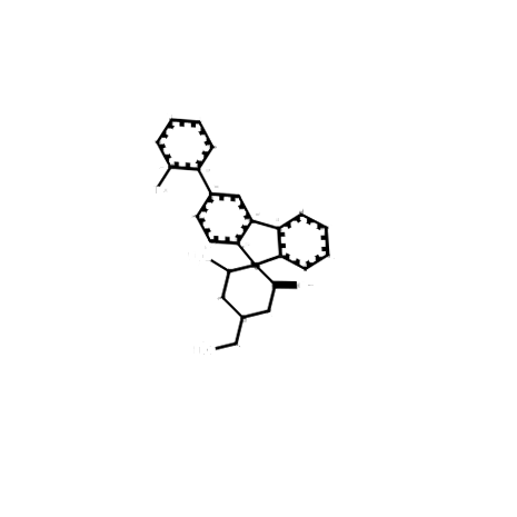 C=C1CC(CC)CC(C)C12c1ccccc1-c1cc(-c3ccccc3Cl)ccc12